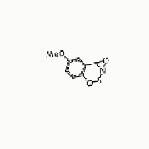 COc1ccc2c(c1)C1ON1SO2